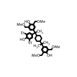 CCc1cc(C(C)(c2cc(COC)c(O)c(COC)c2)C2CCC(C(C)(C)c3cc(COC)c(O)c(COC)c3)CC2)cc(CC)c1O